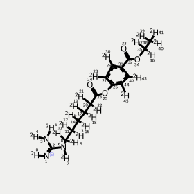 [2H]/N=C(\N([2H])[2H])N([2H])C([2H])([2H])C([2H])([2H])C([2H])([2H])C([2H])([2H])C([2H])([2H])C(=O)Oc1c([2H])c([2H])c(C(=O)OC([2H])([2H])C([2H])([2H])[2H])c([2H])c1[2H]